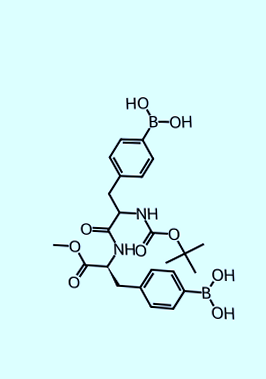 COC(=O)[C@H](Cc1ccc(B(O)O)cc1)NC(=O)C(Cc1ccc(B(O)O)cc1)NC(=O)OC(C)(C)C